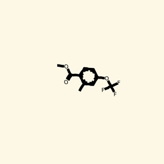 COC(=O)c1ccc(OC(F)(F)F)cc1C